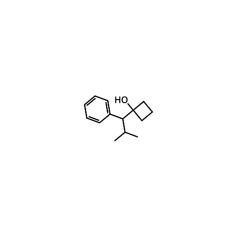 CC(C)C(c1ccccc1)C1(O)CCC1